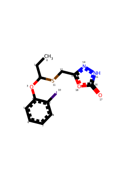 CCC(Oc1ccccc1I)SCc1n[nH]c(=O)o1